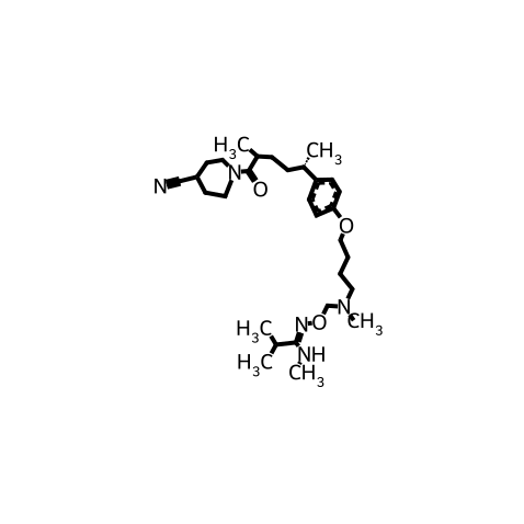 CN/C(=N\OCN(C)CCCCOc1ccc([C@@H](C)CCC(C)C(=O)N2CCC(C#N)CC2)cc1)C(C)C